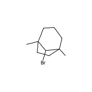 CC12CCCC(C)(CC1)C2Br